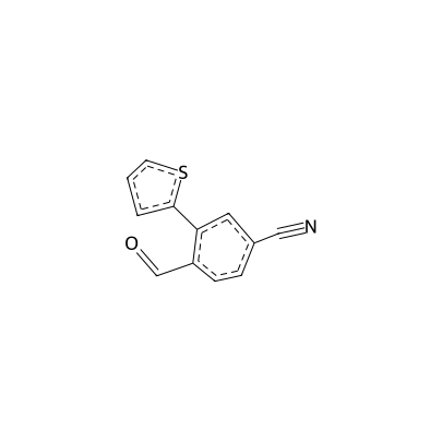 N#Cc1ccc(C=O)c(-c2cccs2)c1